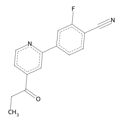 CCC(=O)c1ccnc(-c2ccc(C#N)c(F)c2)c1